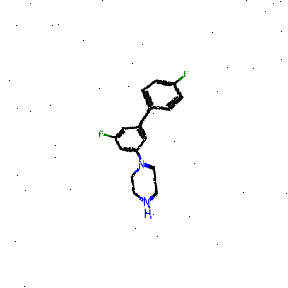 Fc1ccc(-c2cc(F)cc(N3CCNCC3)c2)cc1